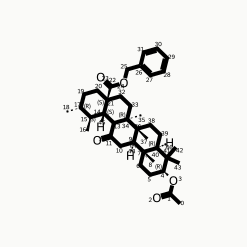 CC(=O)O[C@@H]1CC[C@]2(C)[C@H]3CC(=O)C4[C@@H]5[C@@H](C)[C@H](C)CC[C@]5(C(=O)OCc5ccccc5)CC[C@@]4(C)[C@]3(C)CC[C@H]2C1(C)C